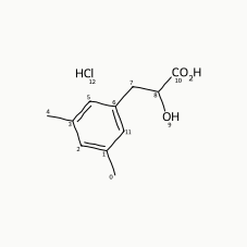 Cc1cc(C)cc(CC(O)C(=O)O)c1.Cl